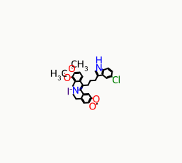 COc1ccc2c(CCCc3c[nH]c4ccc(Cl)cc34)c3[n+](cc2c1OC)CCc1cc2c(cc1-3)OCO2.[I-]